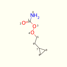 NC(=O)OOCCC1CC1